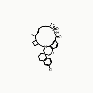 C[C@@H]1[C@@H](C)C/C=C/[C@H](C)C2CCC2CN2C[C@@]3(CCCc4cc(Cl)ccc43)COc3ccc(cc32)C(=O)NS1(=O)=O